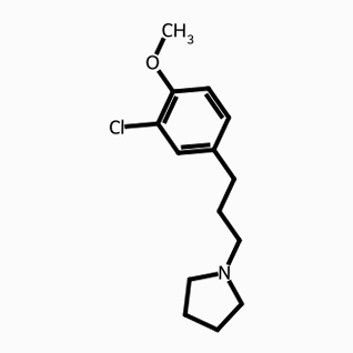 COc1ccc(CCCN2CCCC2)cc1Cl